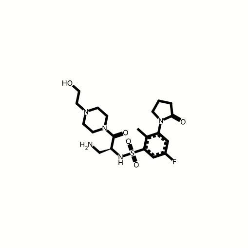 Cc1c(N2CCCC2=O)cc(F)cc1S(=O)(=O)N[C@@H](CN)C(=O)N1CCN(CCO)CC1